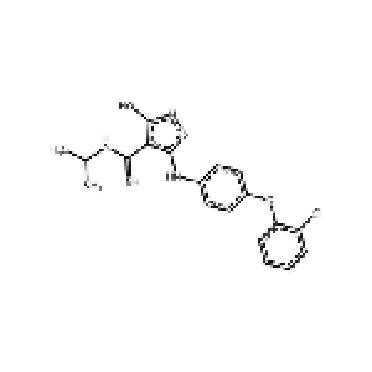 CC(C)NC(=N)c1c(O)nsc1Nc1ccc(Oc2ccccc2Cl)cc1